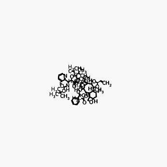 C=C[C@@H]1O[C@@H]2C3=C(C)[C@@H](OC(=O)[C@H](O[Si](C(C)C)(C(C)C)C(C)C)[C@@H](NC(=O)OC(C)(C)C)c4ncccc4F)C[C@@](O)([C@@H](OC(=O)c4ccccc4)[C@@H]4[C@]5(OC(C)=O)CO[C@@H]5C[C@@H](F)[C@@]4(C)[C@@H]2O1)C3(C)C